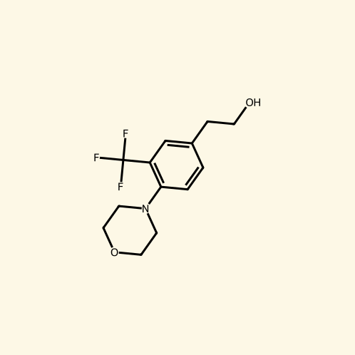 OCCc1ccc(N2CCOCC2)c(C(F)(F)F)c1